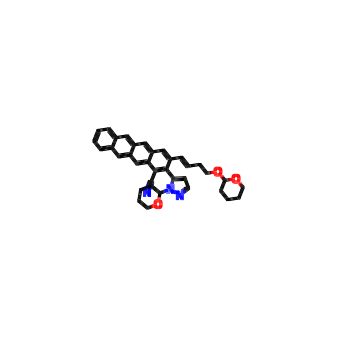 N#Cc1c(-c2ccnn2C2CCCCO2)c(C=CCCOC2CCCCO2)cc2cc3cc4ccccc4cc3cc12